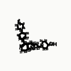 CN1CCN(c2ccc(-c3nccc4[nH]c(CCN5CCC(O)CC5)cc34)cc2)CC1